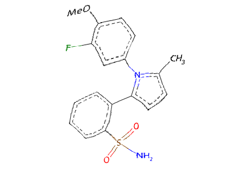 COc1ccc(-n2c(C)ccc2-c2ccccc2S(N)(=O)=O)cc1F